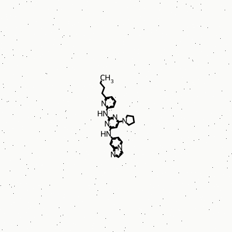 CCCCc1cccc(Nc2nc(Nc3ccn4ccnc4c3)cc(N3CCCC3)n2)n1